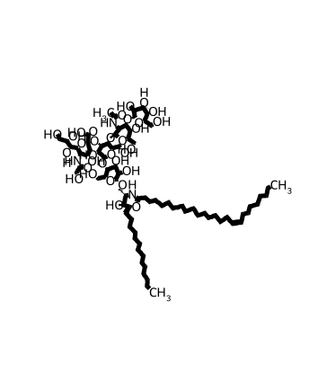 CCCCCCCC/C=C\CCCCCCCCCCCCCCCC(=O)N[C@@H](CO[C@@H]1OC(CO)[C@@H](O[C@@H]2OC(CO)[C@H](O[C@@H]3OC(CO)[C@H](O)[C@H](O[C@@H]4OC(CO)[C@H](O)[C@H](O)C4O)C3NC(C)=O)[C@H](O[C@]3(C(=O)O)CC(O)[C@@H](NC(=O)CO)C([C@H](O)[C@H](O)CO)O3)C2O)[C@H](O)C1O)[C@H](O)/C=C/CCCCCCCCCCCCC